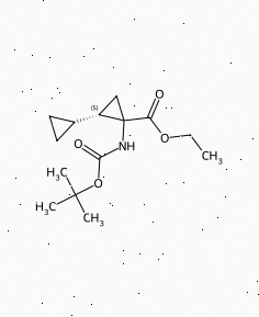 CCOC(=O)C1(NC(=O)OC(C)(C)C)C[C@H]1C1CC1